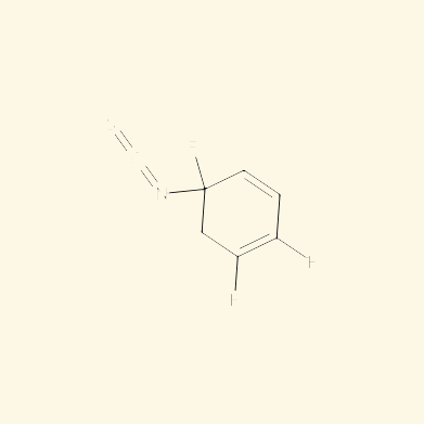 FC1=C(F)CC(F)(N=C=S)C=C1